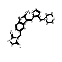 O=C1Nc2ccc(CN3C(=O)CSC3=O)cc2/C1=C/c1[nH]ccc1CN1CCOCC1